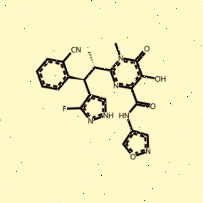 C[C@H](c1nc(C(=O)Nc2cnoc2)c(O)c(=O)n1C)[C@H](c1ccccc1C#N)c1c[nH]nc1F